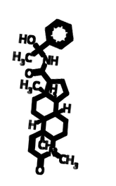 CN1C(=O)C=C[C@@]2(C)C1CC[C@@H]1[C@H]2CC[C@]2(C)C(C(=O)NC(C)(O)c3ccccc3)CC[C@@H]12